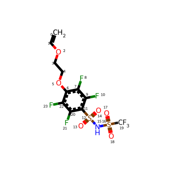 C=COCCOc1c(F)c(F)c(S(=O)(=O)NS(=O)(=O)C(F)(F)F)c(F)c1F